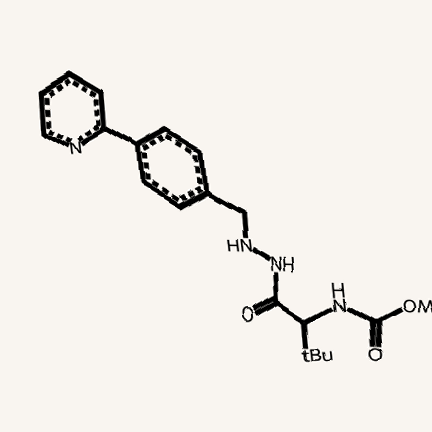 COC(=O)NC(C(=O)NNCc1ccc(-c2ccccn2)cc1)C(C)(C)C